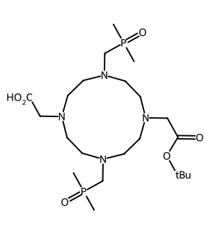 CC(C)(C)OC(=O)CN1CCN(CP(C)(C)=O)CCN(CC(=O)O)CCN(CP(C)(C)=O)CC1